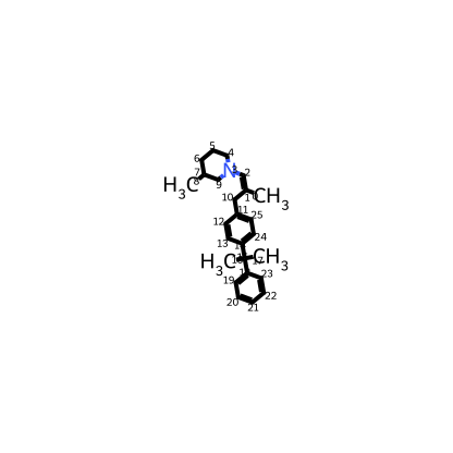 CC(=CN1CCCC(C)C1)Cc1ccc(C(C)(C)c2ccccc2)cc1